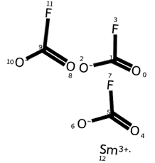 O=C([O-])F.O=C([O-])F.O=C([O-])F.[Sm+3]